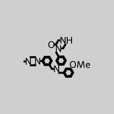 COc1cccc(CN(Cc2cccc(N3CCN(C)CC3)c2)c2cccc(CN3CCNCC3=O)c2)c1